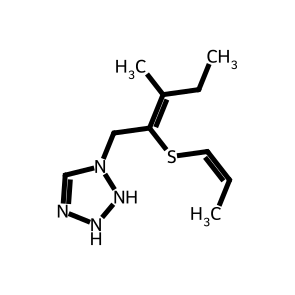 C/C=C\S/C(CN1C=NNN1)=C(/C)CC